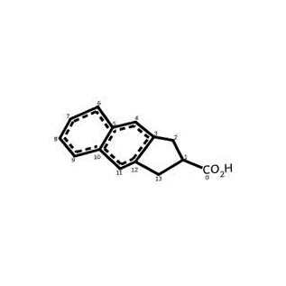 O=C(O)C1Cc2cc3ccccc3cc2C1